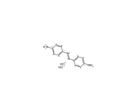 Cl.Cl.Nc1ccc(/N=N/c2ccc(N)cc2)cc1